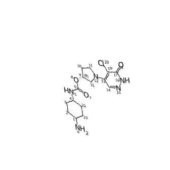 NC1CCC(NC(=O)O[C@@H]2CCN(c3cn[nH]c(=O)c3Cl)C2)CC1